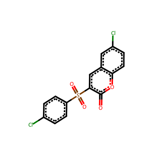 O=c1oc2ccc(Cl)cc2cc1S(=O)(=O)c1ccc(Cl)cc1